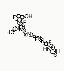 CCc1c(F)ccc2cc(O)cc(-c3ncc4c(N5CCC[C@@](C)(O)C5)nc(OCC5(CN6CCC7(CC6)CC(F)(CN6CCN(c8ccc(C(=O)N[C@H]9CCC(=O)NC9=O)c(F)c8)CC6)C7)CC5)nc4c3F)c12